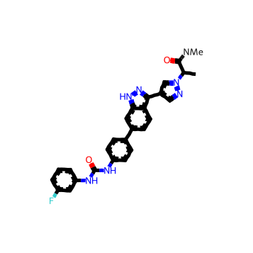 CNC(=O)C(C)n1cc(-c2n[nH]c3cc(-c4ccc(NC(=O)Nc5cccc(F)c5)cc4)ccc23)cn1